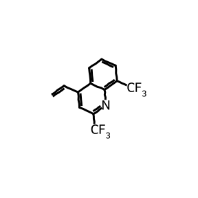 C=Cc1cc(C(F)(F)F)nc2c(C(F)(F)F)cccc12